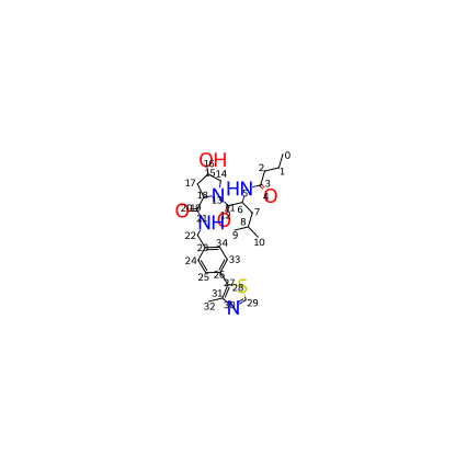 CCCC(=O)NC(CC(C)C)C(=O)N1CC(O)CC1C(=O)NCc1ccc(-c2scnc2C)cc1